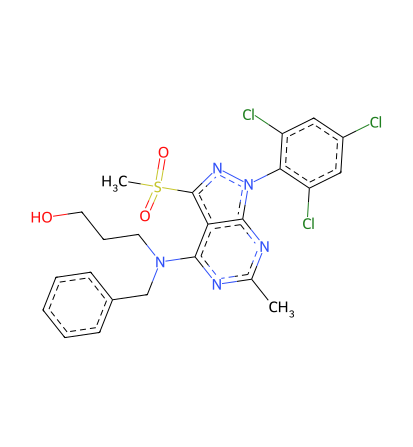 Cc1nc(N(CCCO)Cc2ccccc2)c2c(S(C)(=O)=O)nn(-c3c(Cl)cc(Cl)cc3Cl)c2n1